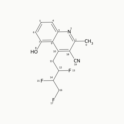 Cc1nc2cccc(O)c2c(CC(F)C(F)CF)c1C#N